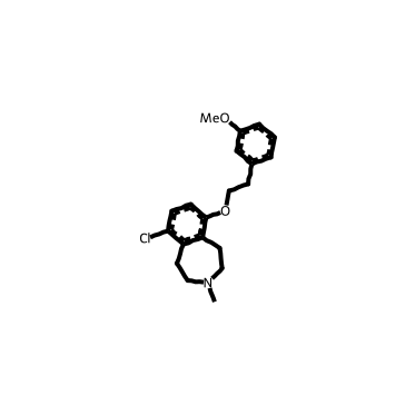 COc1cccc(CCOc2ccc(Cl)c3c2CCN(C)CC3)c1